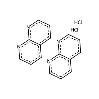 Cl.Cl.c1cnc2ncccc2c1.c1cnc2ncccc2c1